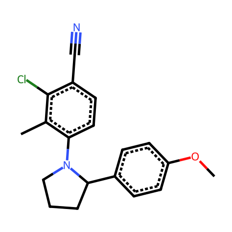 COc1ccc(C2CCCN2c2ccc(C#N)c(Cl)c2C)cc1